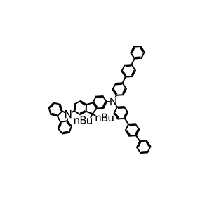 CCCCC1(CCCC)c2cc(N(c3ccc(-c4ccc(-c5ccccc5)cc4)cc3)c3ccc(-c4ccc(-c5ccccc5)cc4)cc3)ccc2-c2ccc(-n3c4ccccc4c4ccccc43)cc21